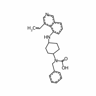 C=Cc1cncc2cccc(NC3CCC(N(Cc4ccccc4)C(=O)O)CC3)c12